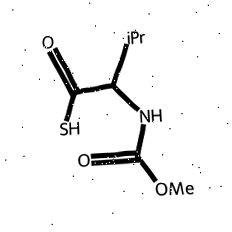 COC(=O)NC(C(=O)S)C(C)C